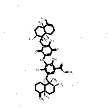 C=C1CCC[C@H]2[C@](C)(Cc3cc(C(=O)OC)c(O)c(NC4=CC(=O)C(O)=C(C[C@]5(C)[C@@H](C)CC[C@]6(C)C(C)=CCC[C@@H]56)C4=O)c3O)[C@@H](C)CC[C@]12C